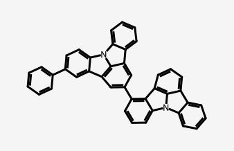 c1ccc(-c2ccc3c(c2)c2cc(-c4cccc5c4c4cccc6c7ccccc7n5c64)cc4c5ccccc5n3c42)cc1